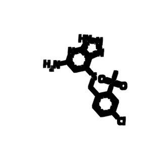 CS(=O)(=O)c1cc(Cl)ccc1CSc1cc(N)nc2[nH]nnc12